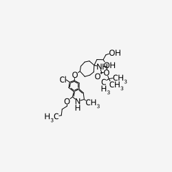 CCCCOC1=c2cc(Cl)c(OC3CCCC(CC(O)CO)(NC(=O)OC(C)(C)C)CCC3)cc2=CC(C)N1